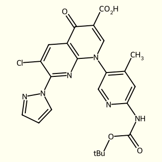 Cc1cc(NC(=O)OC(C)(C)C)ncc1-n1cc(C(=O)O)c(=O)c2cc(Cl)c(-n3cccn3)nc21